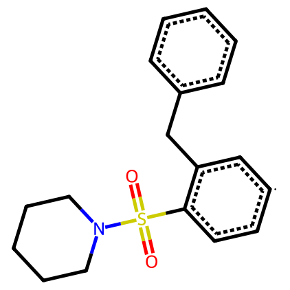 O=S(=O)(c1cc[c]cc1Cc1ccccc1)N1CCCCC1